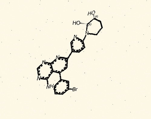 Nc1ncnc2nc(-c3ccc(N4CCC[C@@H](O)[C@H]4O)nc3)cc(-c3cccc(Br)c3)c12